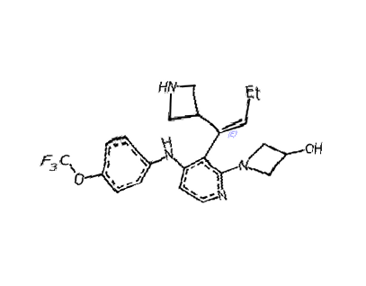 CC/C=C(/c1c(Nc2ccc(OC(F)(F)F)cc2)ccnc1N1CC(O)C1)C1CNC1